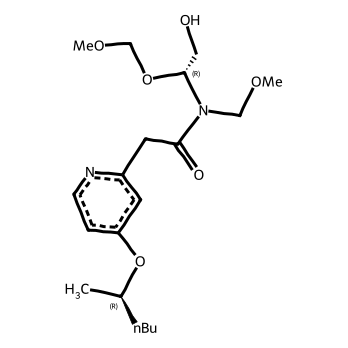 CCCC[C@@H](C)Oc1ccnc(CC(=O)N(COC)[C@@H](CO)OCOC)c1